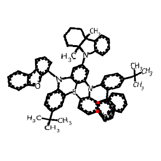 CC(C)(C)c1ccc2c(c1)B1c3ccc4oc5ccccc5c4c3N(c3ccc(C(C)(C)C)cc3-c3ccccc3)c3cc(N4c5ccccc5C5(C)CCCCC45C)cc(c31)N2c1cccc2c1oc1ccccc12